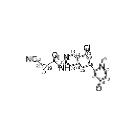 Cn1ccc(=O)cc1-c1cc(Cl)c2cnc(NC(=O)C3CC3C#N)cc2c1